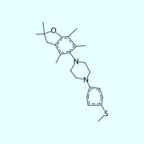 CSc1ccc(N2CCN(c3c(C)c(C)c4c(c3C)CC(C)(C)O4)CC2)cc1